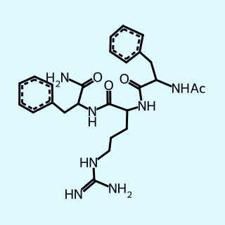 CC(=O)NC(Cc1ccccc1)C(=O)NC(CCCNC(=N)N)C(=O)NC(Cc1ccccc1)C(N)=O